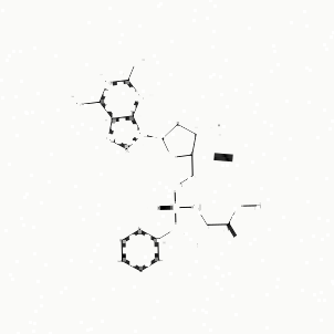 C#C[C@]1(COP(=O)(N[C@@H](C)C(=O)OC(C)C)Oc2ccccc2)O[C@@H](n2cnc3c(N)nc(F)nc32)C[C@@H]1O